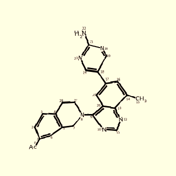 CC(=O)c1ccc2c(c1)CN(c1ncnc3c(C)cc(-c4cnc(N)nc4)cc13)CC2